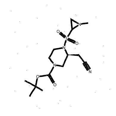 CN1CC1S(=O)(=O)N1CCN(C(=O)OC(C)(C)C)C[C@@H]1CC#N